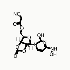 N#CCC(=O)OC[C@H]1O[C@@H](N2C=CC(NO)=NC2O)[C@@H]2OC(=O)O[C@@H]21